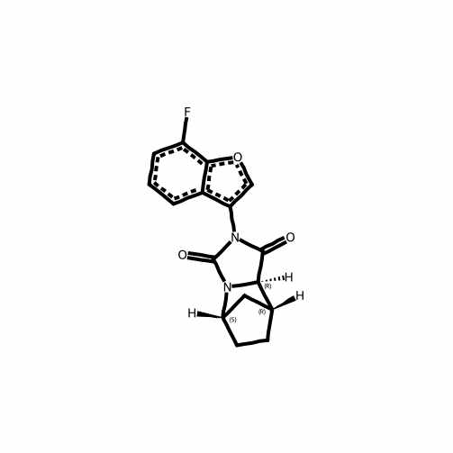 O=C1[C@H]2[C@@H]3CC[C@@H](C3)N2C(=O)N1c1coc2c(F)cccc12